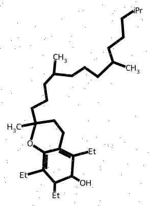 CCC1=C2CCC(C)(CCCC(C)CCCC(C)CCCC(C)C)OC2=C(CC)C(CC)C1O